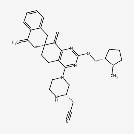 C=C1C[C@]2(CCc3c(nc(OC[C@@H]4CCCN4C)nc3N3CCN[C@@H](CC#N)C3)C2=O)Cc2ccccc21